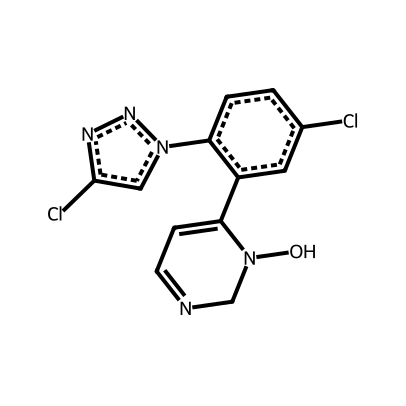 ON1CN=CC=C1c1cc(Cl)ccc1-n1cc(Cl)nn1